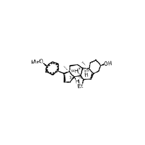 CCC1C=C2CC(O)CC[C@]2(C)[C@@H]2CC[C@]3(C)C(c4ccc(OC)cc4)=CC[C@H]3[C@H]12